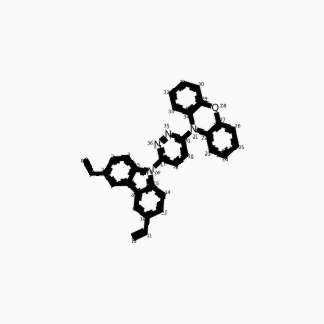 C=Cc1ccc2c(c1)c1cc(C=C)ccc1n2-c1ccc(N2c3ccccc3Oc3ccccc32)nn1